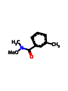 CON(C)C(=O)c1cccc(C)c1